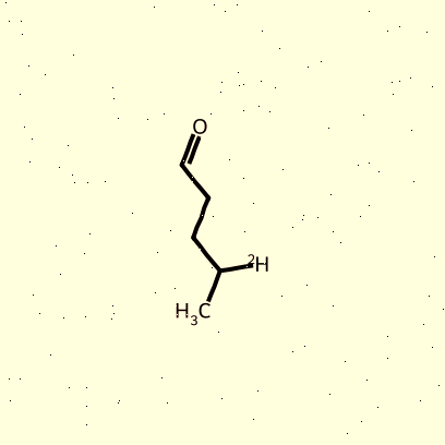 [2H]C(C)CCC=O